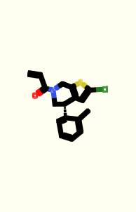 C=CC(=O)N1Cc2sc(Cl)cc2[C@H](c2ccccc2C)C1